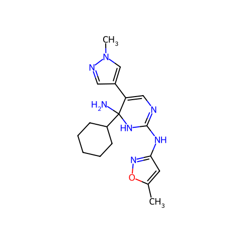 Cc1cc(NC2=NC=C(c3cnn(C)c3)C(N)(C3CCCCC3)N2)no1